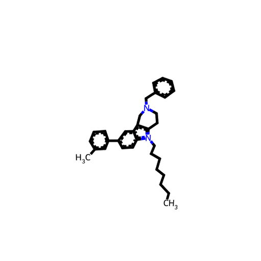 CCCCCCCCn1c2c(c3cc(-c4cccc(C)c4)ccc31)CN(Cc1ccccc1)CC2